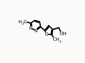 Cc1ccc(-c2cc(CO)c(C)o2)nn1